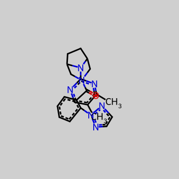 Cc1cnc(N2C3CCC2CN(C(=O)c2ccccc2-n2nccn2)C3)nc1C